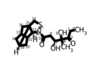 CCC(=O)C(C)(C)[C@@H](O)CC(=O)N1SCC23CC4C[C@H]2CC4[C@H]13